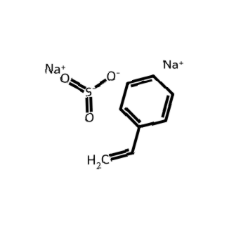 C=Cc1ccccc1.O=[S-](=O)[O-].[Na+].[Na+]